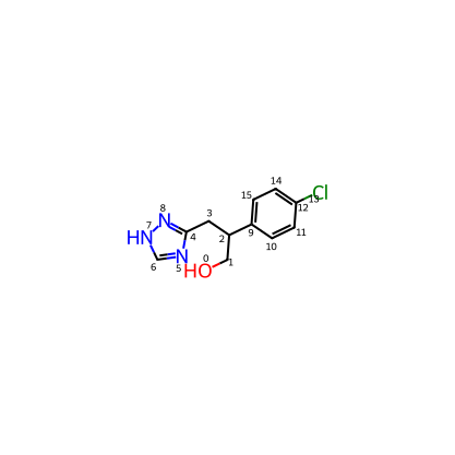 OCC(Cc1nc[nH]n1)c1ccc(Cl)cc1